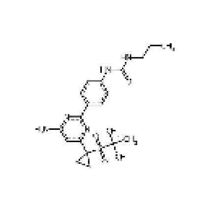 CCCNC(=O)Nc1ccc(-c2nc(N)cc(C3(S(=O)(=O)C(C)(C)C)CC3)n2)cc1